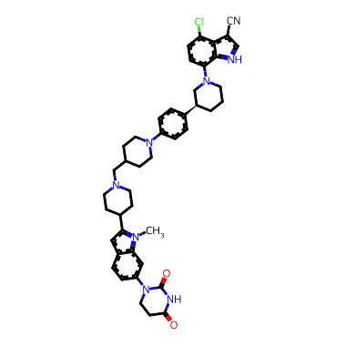 Cn1c(C2CCN(CC3CCN(c4ccc([C@@H]5CCCN(c6ccc(Cl)c7c(C#N)c[nH]c67)C5)cc4)CC3)CC2)cc2ccc(N3CCC(=O)NC3=O)cc21